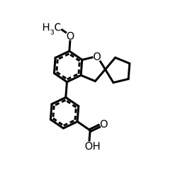 COc1ccc(-c2cccc(C(=O)O)c2)c2c1OC1(CCCC1)C2